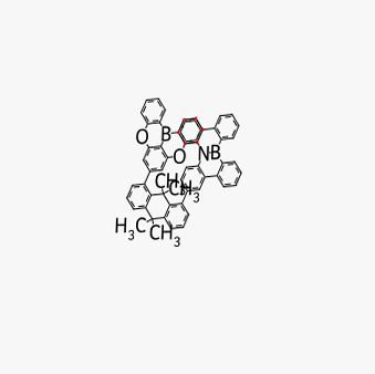 CC1(C)c2cccc(-c3cc4c5c(c3)Oc3ccccc3B5c3ccccc3O4)c2C(C)(C)c2c(-c3ccc4c(c3)-c3ccccc3B3c5ccccc5-c5ccccc5N34)cccc21